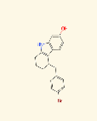 Oc1ccc2c3c([nH]c2c1)CCCC3Cc1ccc(Br)cc1